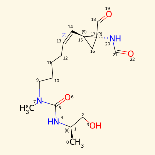 C[C@H](CO)NC(=O)N(C)CCCC/C=C\[C@@H]1C[C@@]1(C=O)NC=O